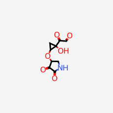 O=CC(=O)C1(O)CC1OC1CNC(=O)C1=O